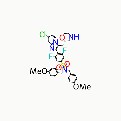 COc1ccc(CN(Cc2ccc(OC)cc2)S(=O)(=O)c2cc(F)c(-c3nc4cc(Cl)ccn4c3C[C@H]3CNCCO3)c(F)c2)cc1